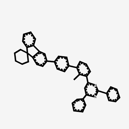 Cc1c(-c2ccc(-c3ccc4c(c3)-c3ccccc3C43CCCCC3)cc2)cccc1-c1cc(-c2ccccc2)nc(-c2ccccc2)n1